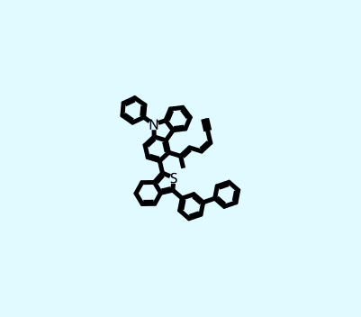 C#C/C=C\C=C(/C)c1c(-c2sc(-c3cccc(-c4ccccc4)c3)c3c2CCC=C3)ccc2c1c1ccccc1n2-c1ccccc1